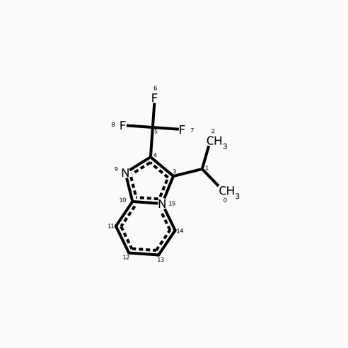 CC(C)c1c(C(F)(F)F)nc2ccccn12